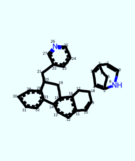 C1=CC2=CC=C(CC2)N1.C1=Cc2ccc3c(c2CC1)CC(Cc1cccnc1)c1ccccc1-3